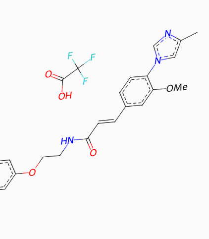 COc1cc(C=CC(=O)NCCOc2ccccc2)ccc1-n1cnc(C)c1.O=C(O)C(F)(F)F